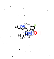 CN/C=C(/Cc1cc(CC2CC2)nn1C)C(=N)c1ccc(F)cc1[C@@H](C)O